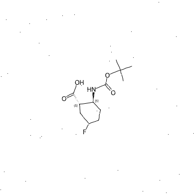 CC(C)(C)OC(=O)N[C@H]1CCC(F)C[C@@H]1C(=O)O